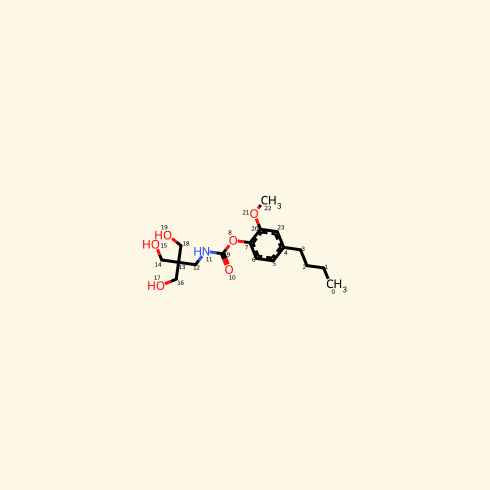 CCCCc1ccc(OC(=O)NCC(CO)(CO)CO)c(OC)c1